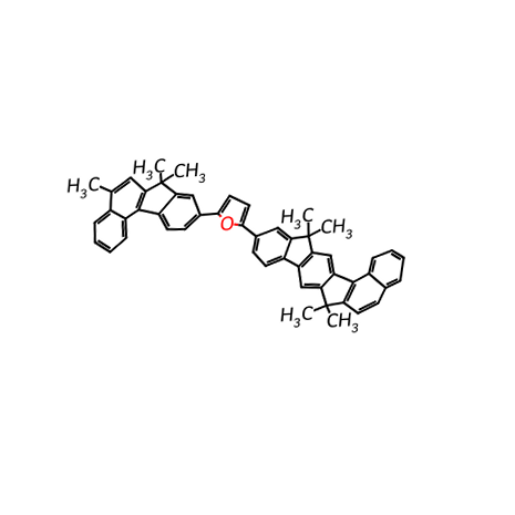 Cc1cc2c(c3ccccc13)-c1ccc(-c3ccc(-c4ccc5c(c4)C(C)(C)c4cc6c(cc4-5)C(C)(C)c4ccc5ccccc5c4-6)o3)cc1C2(C)C